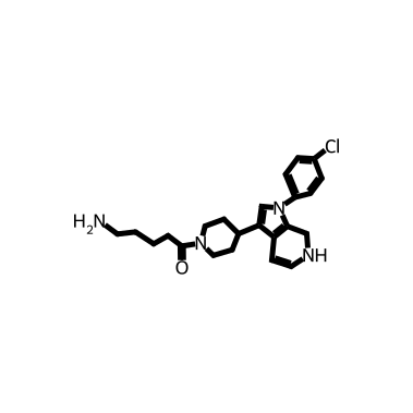 NCCCCC(=O)N1CCC(c2cn(-c3ccc(Cl)cc3)c3c2C=CNC3)CC1